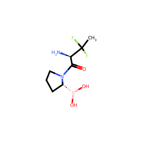 CC(F)(F)[C@H](N)C(=O)N1CCC[C@H]1B(O)O